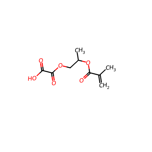 C=C(C)C(=O)OC(C)COC(=O)C(=O)O